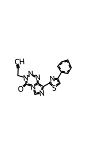 C#CCn1nnc2c(-c3nc(-c4ccccc4)cs3)ncn2c1=O